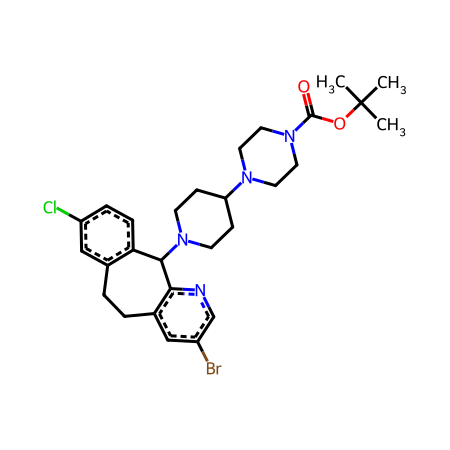 CC(C)(C)OC(=O)N1CCN(C2CCN(C3c4ccc(Cl)cc4CCc4cc(Br)cnc43)CC2)CC1